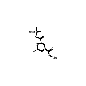 C=C(O[Si](C)(C)C(C)(C)C)[C@H]1CN(C(=O)OC(C)(C)C)C[C@@H](C)O1